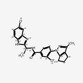 Cc1nn(-c2ccc(C(=O)N[C@@H](C)c3nc4cc(Cl)ccc4[nH]3)cc2C(F)(F)F)c2c1CCC2